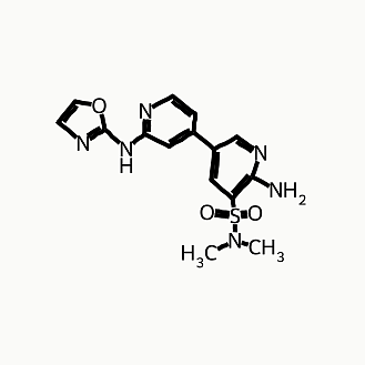 CN(C)S(=O)(=O)c1cc(-c2ccnc(Nc3ncco3)c2)cnc1N